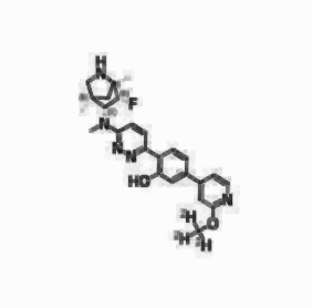 [2H]C([2H])([2H])Oc1cc(-c2ccc(-c3ccc(N(C)[C@H]4[C@@H](F)[C@@]5(C)C[C@]4(C)CN5)nn3)c(O)c2)ccn1